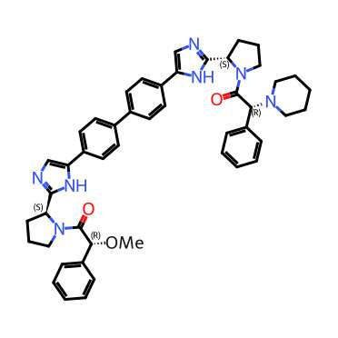 CO[C@@H](C(=O)N1CCC[C@H]1c1ncc(-c2ccc(-c3ccc(-c4cnc([C@@H]5CCCN5C(=O)[C@@H](c5ccccc5)N5CCCCC5)[nH]4)cc3)cc2)[nH]1)c1ccccc1